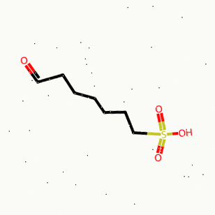 O=CCCCCCCS(=O)(=O)O